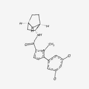 Cn1c(C(=O)N[C@@H]2C[C@H]3CC[C@@H]2N3)ccc1-c1cc(Cl)cc(Cl)c1